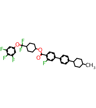 CC1CCC(c2ccc(-c3ccc(C(=O)OC4CCC(C(F)(F)Oc5cc(F)c(F)c(F)c5)CC4)c(F)c3)cc2)CC1